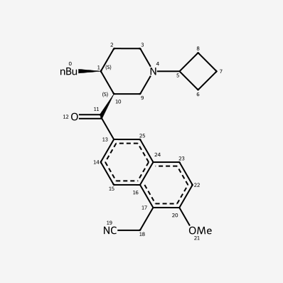 CCCC[C@H]1CCN(C2CCC2)C[C@H]1C(=O)c1ccc2c(CC#N)c(OC)ccc2c1